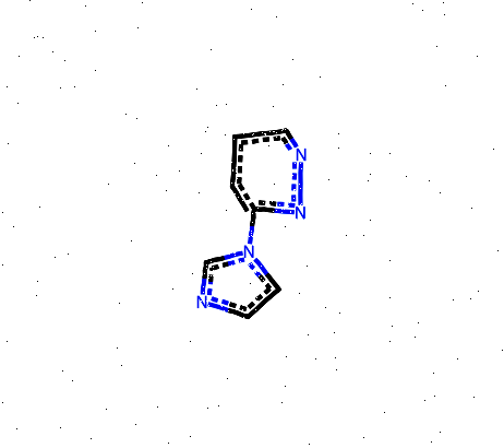 c1cnnc(-n2ccnc2)c1